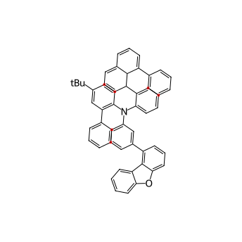 CC(C)(C)c1ccc(N(c2cccc(-c3cccc4oc5ccccc5c34)c2)c2ccccc2C2C=CC=C3C=CC=C(c4ccccc4)C32)c(-c2ccccc2)c1